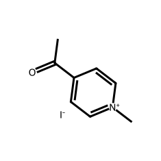 CC(=O)c1cc[n+](C)cc1.[I-]